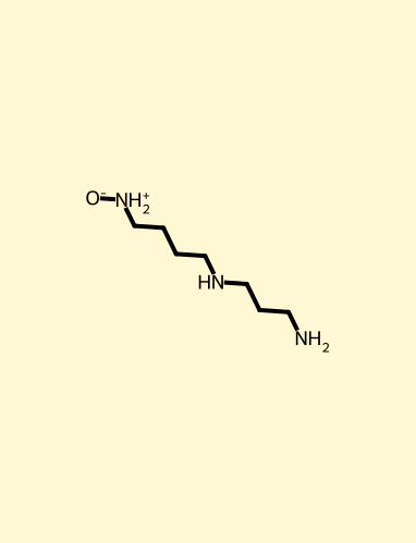 NCCCNCCCC[NH2+][O-]